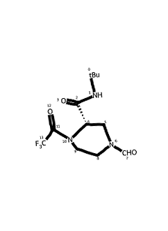 CC(C)(C)NC(=O)[C@@H]1CN(C=O)CCN1C(=O)C(F)(F)F